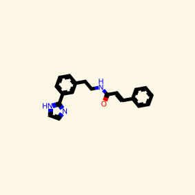 O=C(C=Cc1ccccc1)NCCc1cccc(-c2ncc[nH]2)c1